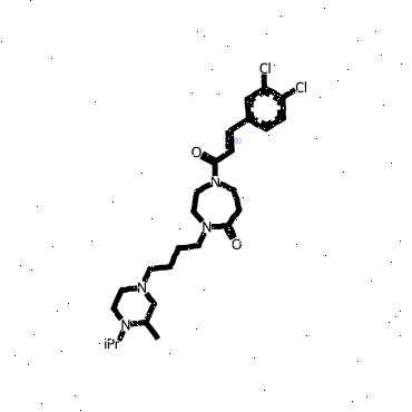 CC(C)N1CCN(CCCCN2CCN(C(=O)/C=C/c3ccc(Cl)c(Cl)c3)CCC2=O)CC1C